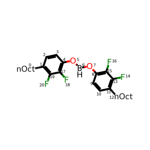 CCCCCCCCc1ccc(OBOc2ccc(CCCCCCCC)c(F)c2F)c(F)c1F